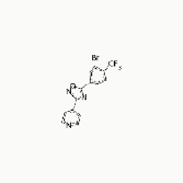 FC(F)(F)c1ccc(-c2nc(-c3ccncc3)no2)cc1Br